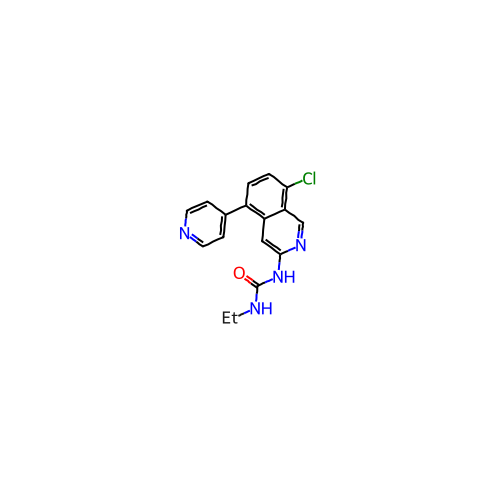 CCNC(=O)Nc1cc2c(-c3ccncc3)ccc(Cl)c2cn1